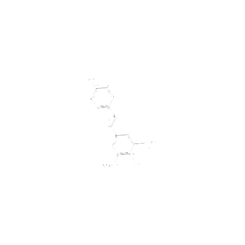 COc1cc(/C=C/c2ccc(F)cc2)cc(C=O)c1O